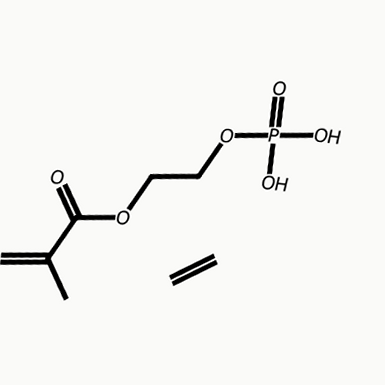 C=C.C=C(C)C(=O)OCCOP(=O)(O)O